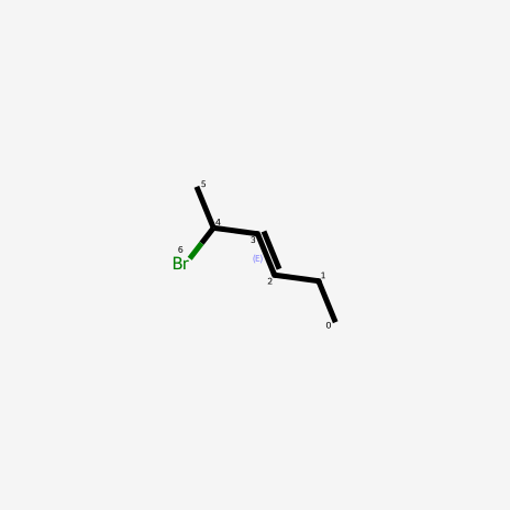 CC/C=C/C(C)Br